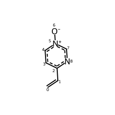 C=Cc1cc[n+]([O-])cn1